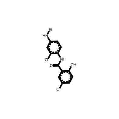 CCNc1ccc(NC(=O)c2cc(Cl)ccc2O)c(Cl)c1